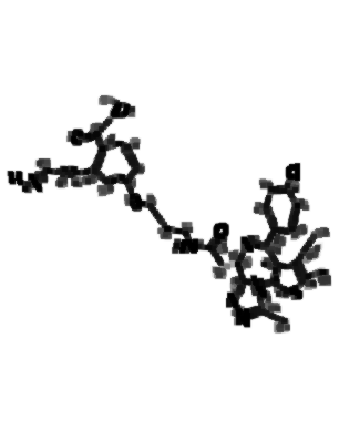 COC(=O)c1ccc(OCCCNC(=O)C[C@@H]2N=C(c3ccc(Cl)cc3)c3c(sc(C)c3C)-n3c(C)nnc32)cc1C#CCN